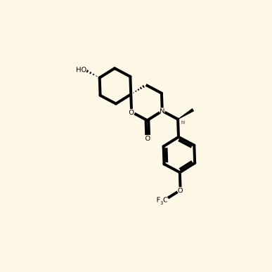 C[C@@H](c1ccc(OC(F)(F)F)cc1)N1CC[C@]2(CC[C@@H](O)CC2)OC1=O